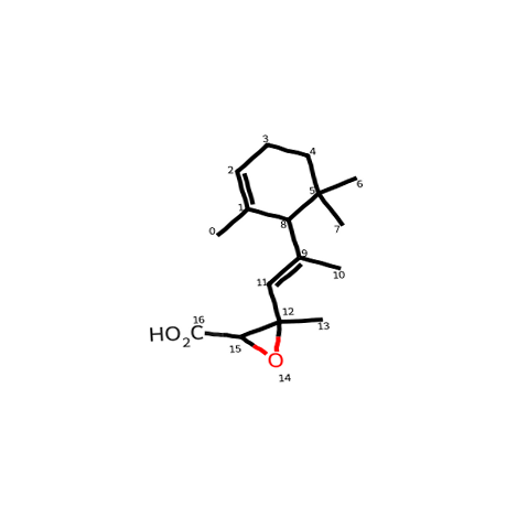 CC1=CCCC(C)(C)C1C(C)=CC1(C)OC1C(=O)O